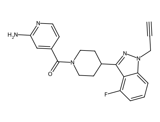 C#CCn1nc(C2CCN(C(=O)c3ccnc(N)c3)CC2)c2c(F)cccc21